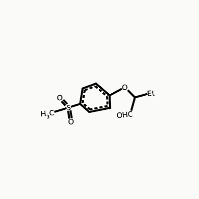 CCC(C=O)Oc1ccc(S(C)(=O)=O)cc1